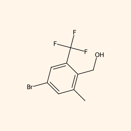 Cc1cc(Br)cc(C(F)(F)F)c1CO